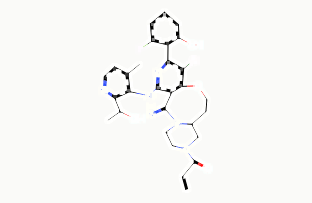 C=CC(=O)N1CCN2C(=N)c3c(Nc4c(C)ccnc4C(C)O)nc(-c4c(O)cccc4F)c(Cl)c3OCCC2C1